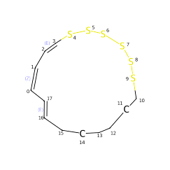 C1=C\C=C\SSSSSSCCCCCC/C=C/1